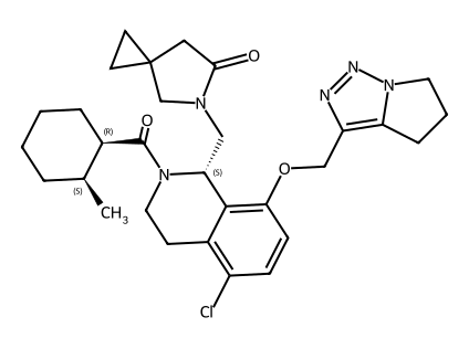 C[C@H]1CCCC[C@H]1C(=O)N1CCc2c(Cl)ccc(OCc3nnn4c3CCC4)c2[C@H]1CN1CC2(CC2)CC1=O